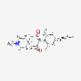 CC#Cc1cc(C)c(C2C(=O)CC3(C=CN(C(C)=O)CC3)CC2=O)c(C)c1